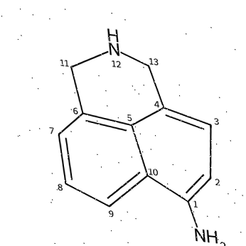 Nc1ccc2c3c(cccc13)CNC2